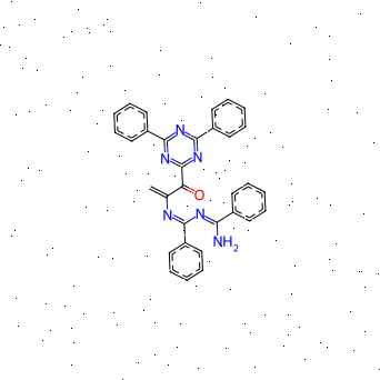 C=C(/N=C(\N=C(/N)c1ccccc1)c1ccccc1)C(=O)c1nc(-c2ccccc2)nc(-c2ccccc2)n1